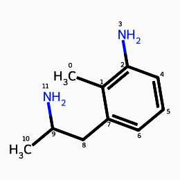 Cc1c(N)cccc1CC(C)N